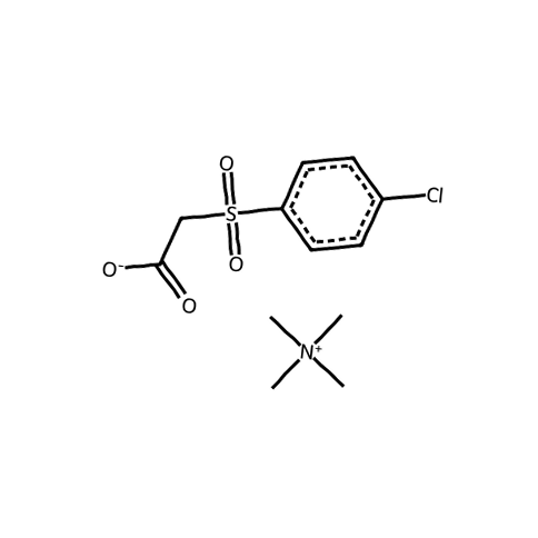 C[N+](C)(C)C.O=C([O-])CS(=O)(=O)c1ccc(Cl)cc1